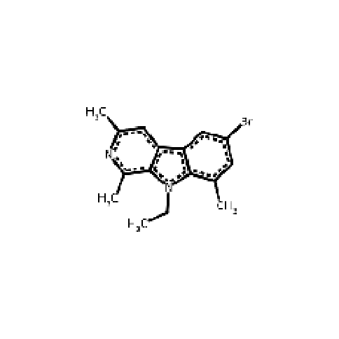 CCn1c2c(C)cc(Br)cc2c2cc(C)nc(C)c21